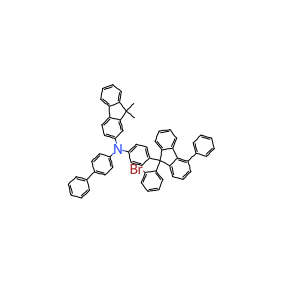 CC1(C)c2ccccc2-c2ccc(N(c3ccc(-c4ccccc4)cc3)c3ccc(C4(c5ccccc5Br)c5ccccc5-c5c(-c6ccccc6)cccc54)cc3)cc21